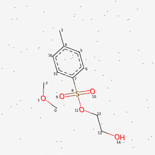 COC.Cc1ccc(S(=O)(=O)OCCO)cc1